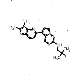 Cc1nc2ccc(-c3ccn4nc(NCC(C)(C)F)ncc34)nc2n1C